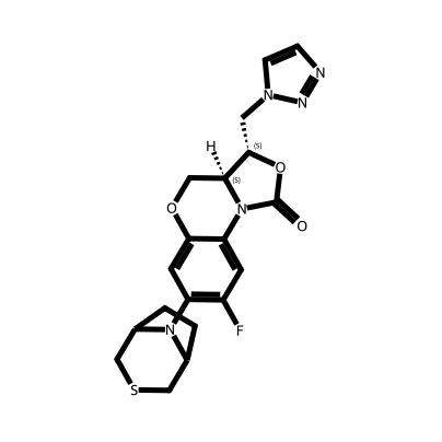 O=C1O[C@@H](Cn2ccnn2)[C@@H]2COc3cc(N4C5CCC4CSC5)c(F)cc3N12